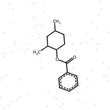 CC1CCC(OC(=O)c2ccccc2)C(C)C1